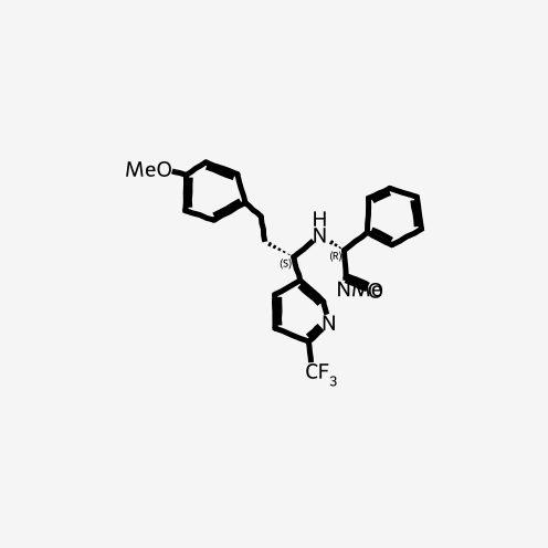 CNC(=O)[C@H](N[C@@H](CCc1ccc(OC)cc1)c1ccc(C(F)(F)F)nc1)c1ccccc1